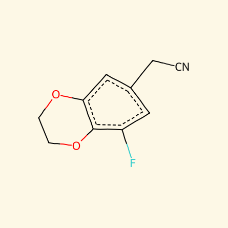 N#CCc1cc(F)c2c(c1)OCCO2